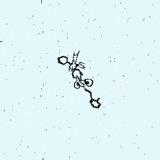 Cc1ccccc1CCS(=O)(=O)N1CCC2(CC1)N=C(C1CCCCC1)NC2=S